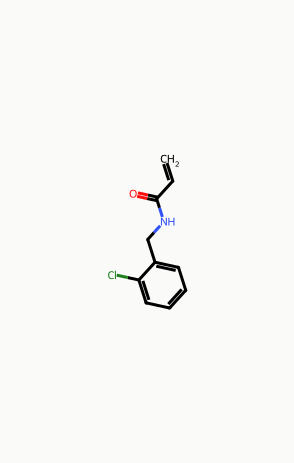 C=CC(=O)NCc1ccccc1Cl